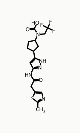 Cc1ncc(CC(=O)Nc2cc(C3CCC(N(CC(F)(F)F)C(=O)O)C3)[nH]n2)s1